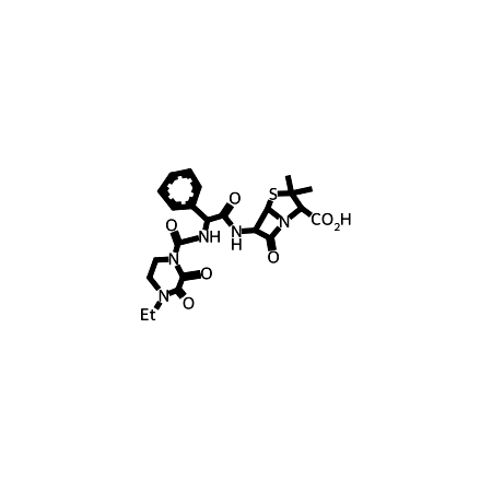 CCN1CCN(C(=O)NC(C(=O)NC2C(=O)N3C2SC(C)(C)C3C(=O)O)c2ccccc2)C(=O)C1=O